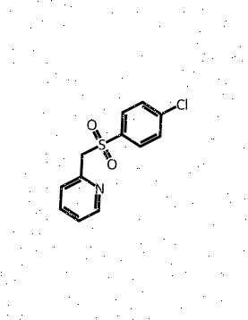 O=S(=O)(Cc1ccccn1)c1ccc(Cl)cc1